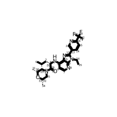 CCC[C@H](Nc1ccnc2c1nc(-c1ccc(C(F)(F)F)nc1)n2CC)C(=O)N1C[C@@H](C)O[C@@H](C)C1